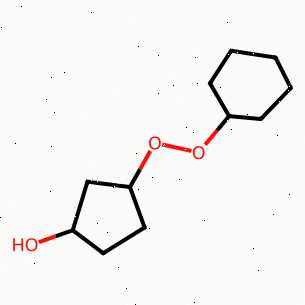 OC1CCC(OOC2CCCCC2)C1